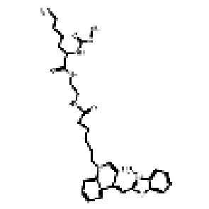 C[n+]1c(/C=C2\C=CN(CCCCCC(=O)NCCNC(=O)C(CCCCN)NC(=O)OC(C)(C)C)c3ccccc32)sc2ccccc21